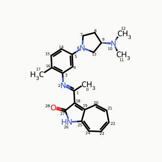 C/C(=N\c1cc(N2CC[C@@H](N(C)C)C2)ccc1C)c1c2cccccc-2[nH]c1=O